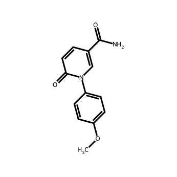 COc1ccc(-n2cc(C(N)=O)ccc2=O)cc1